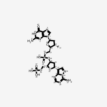 Nc1nc2c(ncn2[C@H]2C[C@H](F)[C@@H](COP(=O)(S)O[C@H]3C[C@H](c4cnn5c(N)ncnc45)O[C@@H]3COP(=O)(O)S)O2)c(=O)[nH]1